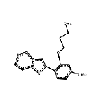 COc1ccc(-c2cn3cnccc3n2)c(OCCCSC)c1